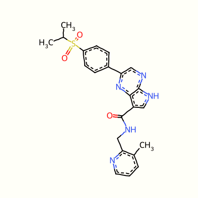 Cc1cccnc1CNC(=O)c1c[nH]c2ncc(-c3ccc(S(=O)(=O)C(C)C)cc3)nc12